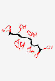 O=C(O)C[C@@H](O)[C@@H](O)[C@H](O)[C@H](O)CO